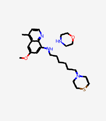 C1COCCN1.COc1cc(NCCCCCCN2CCSCC2)c2nccc(C)c2c1